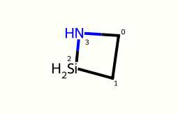 C1C[SiH2]N1